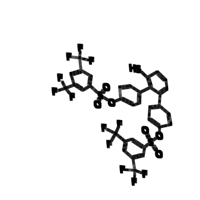 O=S(=O)(Oc1ccc(-c2cccc(S)c2-c2ccc(OS(=O)(=O)c3cc(C(F)(F)F)cc(C(F)(F)F)c3)cc2)cc1)c1cc(C(F)(F)F)cc(C(F)(F)F)c1